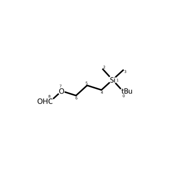 CC(C)(C)[Si](C)(C)CCCOC=O